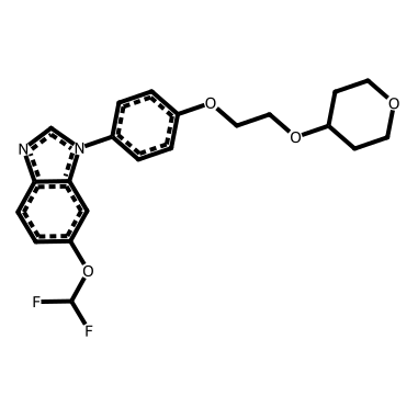 FC(F)Oc1ccc2ncn(-c3ccc(OCCOC4CCOCC4)cc3)c2c1